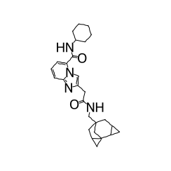 O=C(Cc1cn2c(C(=O)NC3CCCCC3)cccc2n1)NCC12CC3CC3C3(CC3C1)C2